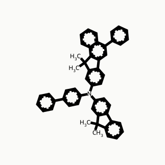 CC1(C)c2ccccc2-c2ccc(N(c3ccc(-c4ccccc4)cc3)c3ccc4c(c3)C(C)(C)c3c-4cc(-c4ccccc4)c4ccccc34)cc21